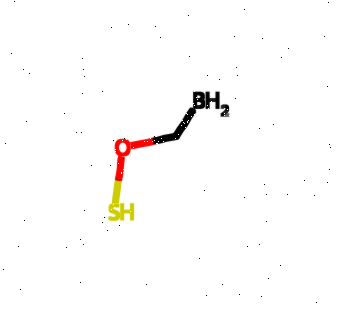 BCOS